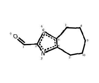 O=Cc1nc2c(s1)CCCCC2